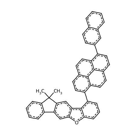 CC1(C)c2ccccc2-c2cc3oc4cccc(-c5ccc6ccc7c(-c8ccc9ccccc9c8)ccc8ccc5c6c87)c4c3cc21